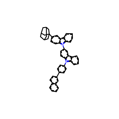 c1ccc2cc(-c3ccc(-n4c5ccccc5c5cc(-n6c7ccccc7c7cc(C89CC%10CC(CC(C%10)C8)C9)ccc76)ccc54)cc3)ccc2c1